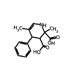 CC1=CNC(C)(C(=O)O)C(C(=O)O)C1c1ccccc1